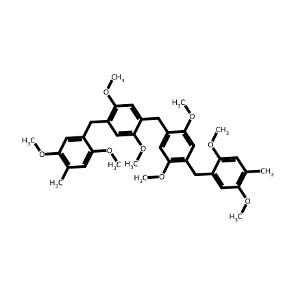 COc1cc(Cc2cc(OC)c(Cc3cc(OC)c(Cc4cc(OC)c(C)cc4OC)cc3OC)cc2OC)c(OC)cc1C